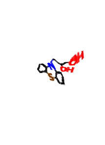 OCC(O)CN1c2ccccc2Sc2ccccc21